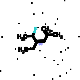 C=C(C)/C=C(/CC)C(C)F